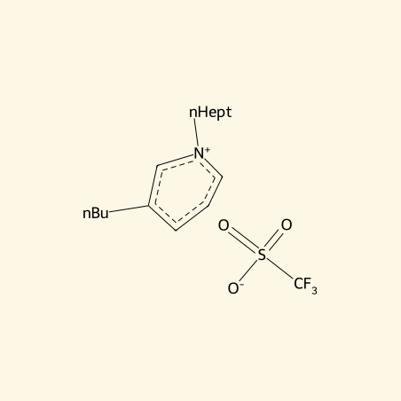 CCCCCCC[n+]1cccc(CCCC)c1.O=S(=O)([O-])C(F)(F)F